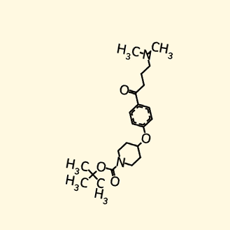 CN(C)CCCC(=O)c1ccc(OC2CCN(C(=O)OC(C)(C)C)CC2)cc1